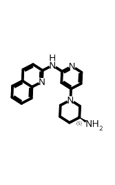 N[C@H]1CCCN(c2ccnc(Nc3ccc4ccccc4n3)c2)C1